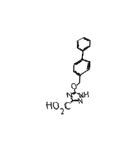 O=C(O)c1n[nH]c(OCc2ccc(-c3ccccc3)cc2)n1